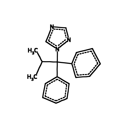 CC(C)C(c1ccccc1)(c1ccccc1)n1cncn1